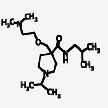 CC(C)CNC(=O)C1(COCCN(C)C)CCN(C(C)C)CC1